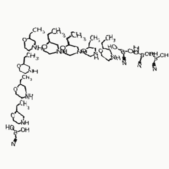 CCC1CNCCO1.CCC1CNCCO1.CCC1CNCCO1.CCC1CNCCO1.CCC1CNCCO1.CCC1CNCCO1.CCC1CNCCO1.CCC1CNCCO1.N#CB(O)O.N#CB(O)O.N#CB(O)O.N#CB(O)O